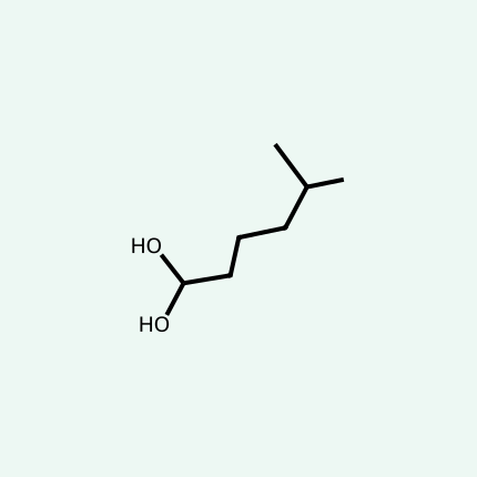 CC(C)CCCC(O)O